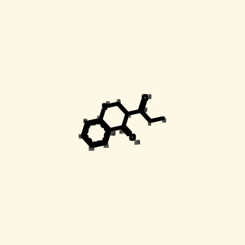 C[CH]C(=O)C1CSc2ccccc2C1=O